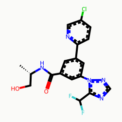 C[C@@H](CO)NC(=O)c1cc(-c2ccc(Cl)cn2)cc(-n2ncnc2C(F)F)c1